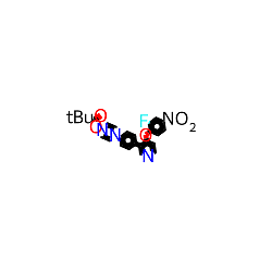 CC(C)(C)C(=O)ON1CCN(c2ccc(-c3cnccc3Oc3ccc([N+](=O)[O-])cc3F)cc2)CC1